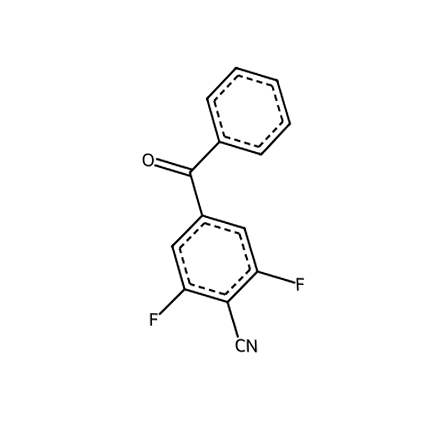 N#Cc1c(F)cc(C(=O)c2ccccc2)cc1F